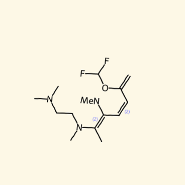 C=C(/C=C\C(NC)=C(/C)N(C)CCN(C)C)OC(F)F